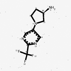 N[C@@H]1CCN(c2cnc(C(F)(F)F)nc2)C1